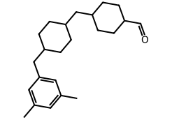 Cc1cc(C)cc(CC2CCC(CC3CCC(C=O)CC3)CC2)c1